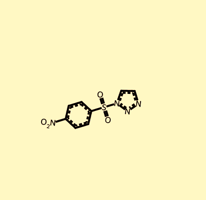 O=[N+]([O-])c1ccc(S(=O)(=O)n2ccnn2)cc1